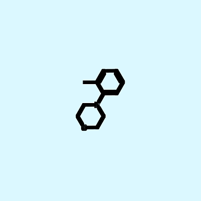 Cc1ccccc1N1CCOCC1